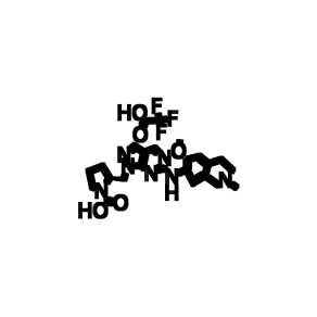 COc1cc2c(cc1Nc1ncc3cnn(C[C@@H]4CCCN4C(=O)O)c3n1)CN(C)CC2.O=C(O)C(F)(F)F